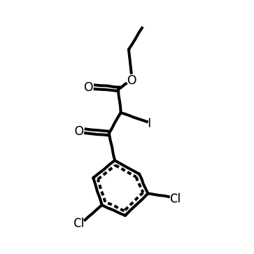 CCOC(=O)C(I)C(=O)c1cc(Cl)cc(Cl)c1